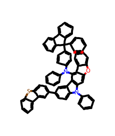 c1ccc(N(c2ccc(C3(c4ccccc4)c4ccccc4-c4ccccc43)cc2)c2c3c(cc4c2c2cc(-c5ccc6sc7ccccc7c6c5)ccc2n4-c2ccccc2)oc2ccccc23)cc1